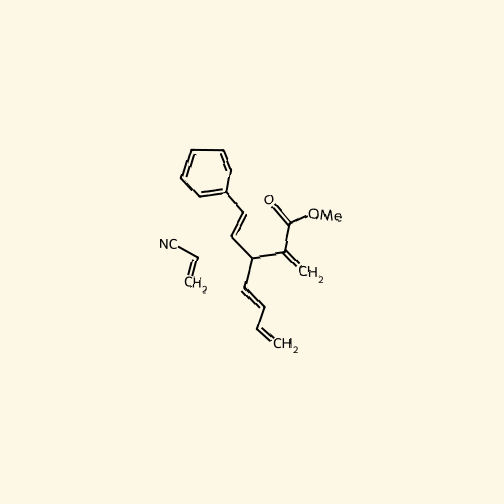 C=CC#N.C=CC=CC(C=Cc1ccccc1)C(=C)C(=O)OC